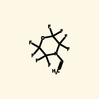 C=CN1C(F)(F)C(F)(F)OC(F)(F)C1(F)F